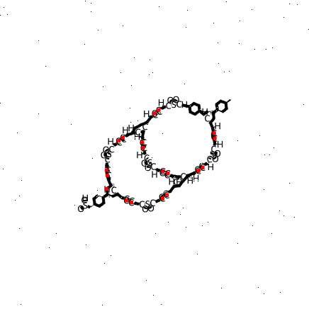 C[C@H]1CC[C@@H]([C@H]2CC3CC(C2)[C@H]2CC[C@H](CC2)CS(=O)(=O)C[C@@H]2CC[C@@H](CC2)[C@H]2CC4C[C@H](C2)[C@H]2CC[C@H](CC2)CS(=O)(=O)C[C@@H]2CC[C@@H](CC2)C2CC(C[C@H](C2)[C@H]2CC[C@H](CC2)CS(=O)(=O)CC2=CC=C(CC2)[C@H]2CC(C[C@@H]([C@H]5CC[C@@H](C[SH](=O)=O)CC5)C2)C2CCC(CC2)CS(=O)(=O)CC2CCC4CC2)[C@H]2CC[C@H](CC2)CS(=O)(=O)C[C@@H]2CC[C@H]3CC2)CC1